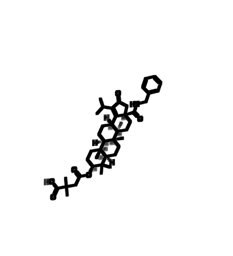 CC(C)C1=C2[C@H]3CC[C@@H]4[C@@]5(C)CC[C@H](OC(=O)CC(C)(C)C(=O)O)C(C)(C)[C@@H]5CC[C@@]4(C)[C@]3(C)CC[C@@]2(C(=O)NCc2ccccc2)CC1=O